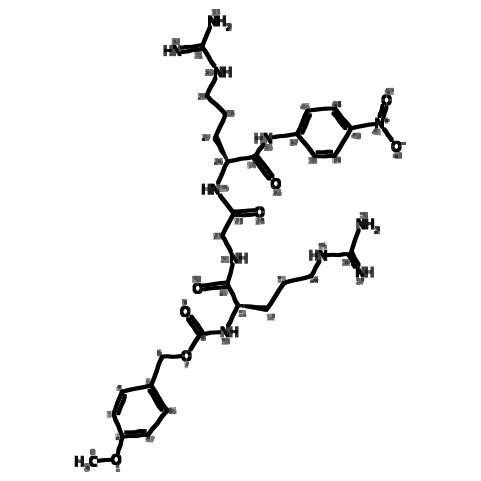 COc1ccc(COC(=O)N[C@H](CCCNC(=N)N)C(=O)NCC(=O)N[C@@H](CCCNC(=N)N)C(=O)Nc2ccc([N+](=O)[O-])cc2)cc1